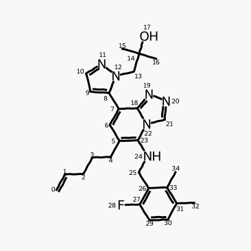 C=CCCCc1cc(-c2ccnn2CC(C)(C)O)c2nncn2c1NCc1c(F)ccc(C)c1C